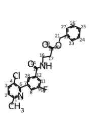 Cc1ccc(Cl)c(-c2cc(F)cc(C(=O)NCCC(=O)OCc3ccccc3)c2)n1